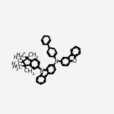 CC1(C)c2ccc(-n3c4ccccc4c4ccc(N(C5=CCC(C6=CCCC=C6)C=C5)c5ccc6oc7ccccc7c6c5)cc43)cc2C(C)(C)C1(C)C